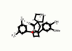 COc1cc(CN(Cc2cc(C(F)(F)F)cc(C(F)(F)F)c2)C(=O)C2(CC3CCC3)CCNCC2)ccc1O